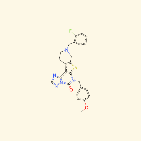 COc1ccc(Cn2c(=O)n3ncnc3c3c4c(sc32)CN(Cc2ccccc2F)CC4)cc1